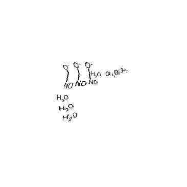 O.O.O.O.O.O=N[O-].O=N[O-].O=N[O-].[Bi+3]